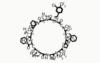 CC[C@H](C)[C@@H]1NC(=O)[C@H](CC(C)C)N(C)C(=O)C[C@@H](C(=O)N2CCCCC2)N(C)C(=O)[C@H](C(C)C)N(C)C(=O)C2(CCCC2)NC(=O)[C@H](C)NC(=O)[C@H](CCc2ccc(C(F)(F)F)c(Cl)c2)NC(=O)CN(C)C(=O)[C@H](CC2CCCCC2)N(C)C(=O)[C@@H]2CCN2C(=O)[C@H](C)N(C)C1=O